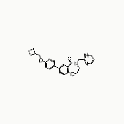 O=C1c2cc(-c3ccc(OCC4CCC4)cc3)ccc2OCCN1Cc1ncccn1